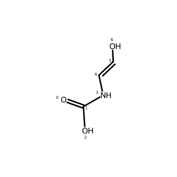 O=C(O)N/C=C/O